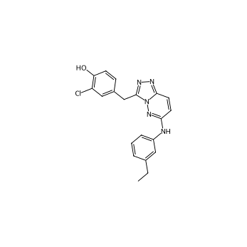 CCc1cccc(Nc2ccc3nnc(Cc4ccc(O)c(Cl)c4)n3n2)c1